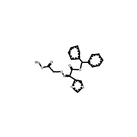 CC(C)(C)OC(=O)CO/N=C(\C(=O)OC(c1ccccc1)c1ccccc1)c1cscn1